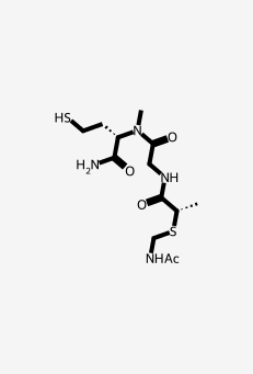 CC(=O)NCS[C@@H](C)C(=O)NCC(=O)N(C)[C@@H](CCS)C(N)=O